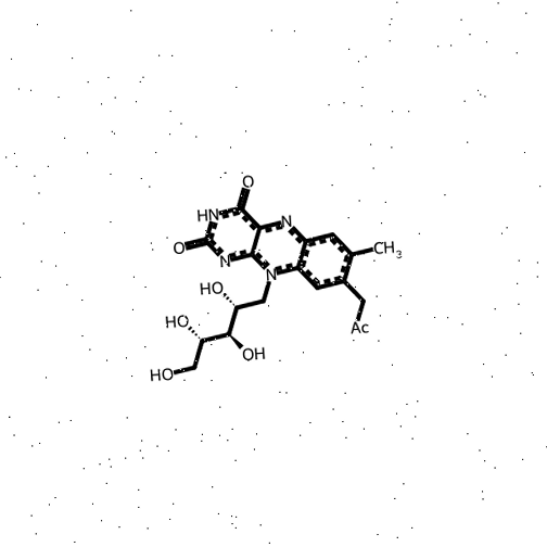 CC(=O)Cc1cc2c(cc1C)nc1c(=O)[nH]c(=O)nc-1n2C[C@@H](O)[C@@H](O)[C@@H](O)CO